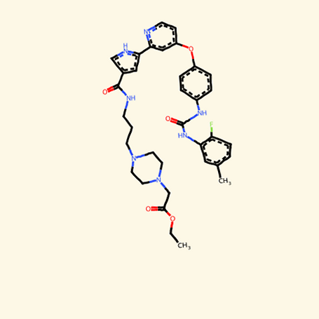 CCOC(=O)CN1CCN(CCCNC(=O)c2c[nH]c(-c3cc(Oc4ccc(NC(=O)Nc5cc(C)ccc5F)cc4)ccn3)c2)CC1